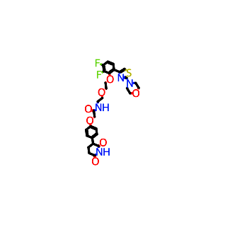 O=C(COc1ccc(C2CCC(=O)NC2=O)cc1)NCCOCCOc1c(-c2csc(N3CCOCC3)n2)ccc(F)c1F